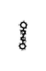 c1cc(-c2ccc(C3CCCCCCC3)cn2)ncc1C1CCCCCCC1